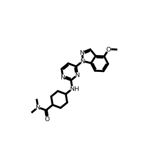 COc1cccc2c1cnn2-c1ccnc(NC2CCC(C(=O)N(C)C)CC2)n1